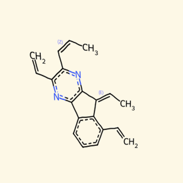 C=Cc1cccc2c1/C(=C\C)c1nc(/C=C\C)c(C=C)nc1-2